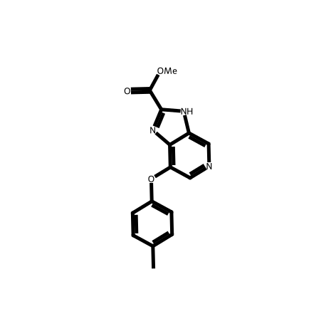 COC(=O)c1nc2c(Oc3ccc(C)cc3)cncc2[nH]1